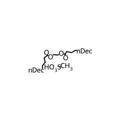 CCCCCCCCCCCCCC(=O)OCCOC(=O)CCCCCCCCCCCCC.CS(=O)(=O)O